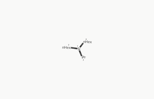 CCCCCC[Si](CCCCCC)C(C)C